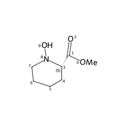 COC(=O)[C@@H]1CCCCN1O